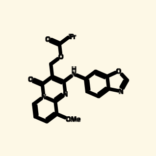 COc1cccn2c(=O)c(COC(=O)C(C)C)c(Nc3ccc4ncoc4c3)nc12